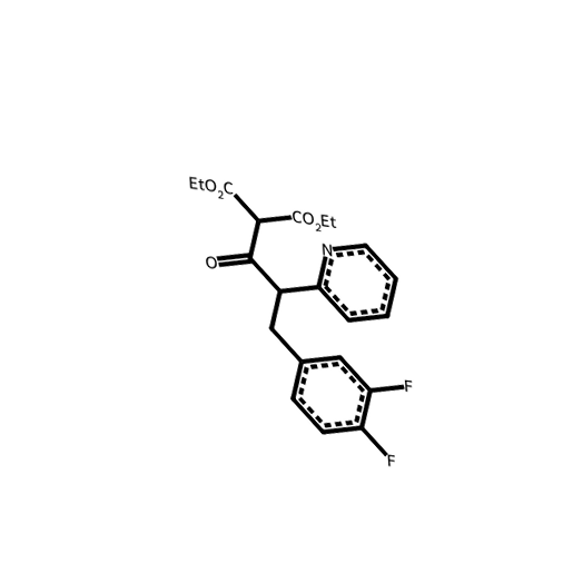 CCOC(=O)C(C(=O)OCC)C(=O)C(Cc1ccc(F)c(F)c1)c1ccccn1